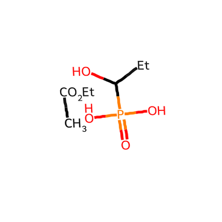 CCC(O)P(=O)(O)O.CCOC(C)=O